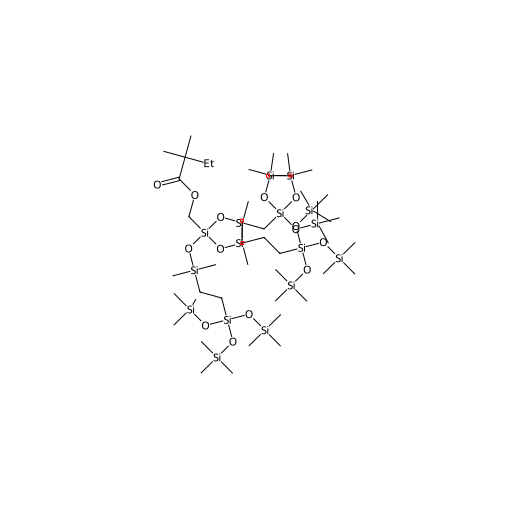 CCC(C)(C)C(=O)OC[Si](O[Si](C)(C)CC[Si](O[Si](C)(C)C)(O[Si](C)(C)C)O[Si](C)(C)C)(O[Si](C)(C)CC[Si](O[Si](C)(C)C)(O[Si](C)(C)C)O[Si](C)(C)C)O[Si](C)(C)C[Si](O[Si](C)(C)C)(O[Si](C)(C)C)O[Si](C)(C)C